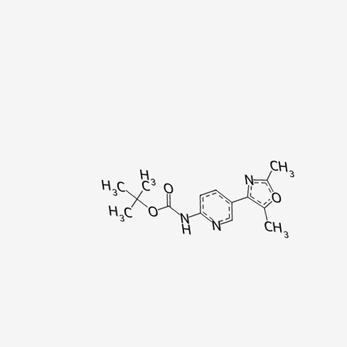 Cc1nc(-c2ccc(NC(=O)OC(C)(C)C)nc2)c(C)o1